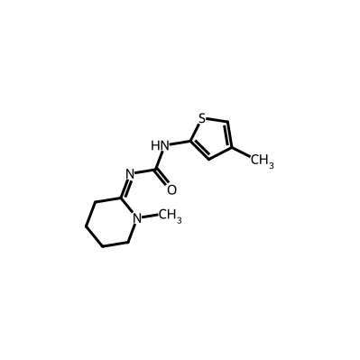 Cc1csc(NC(=O)N=C2CCCCN2C)c1